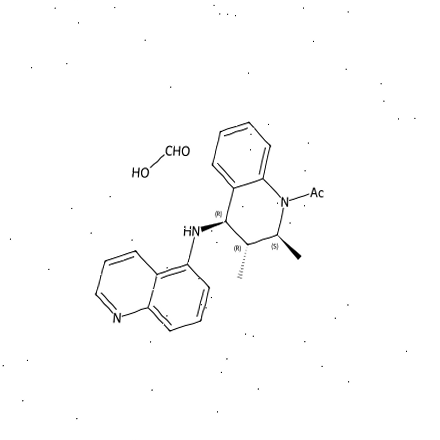 CC(=O)N1c2ccccc2[C@H](Nc2cccc3ncccc23)[C@@H](C)[C@@H]1C.O=CO